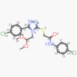 COC(Cn1c(SCC(=O)Nc2ccc(Cl)cc2)nnc1-c1ccc(Cl)cc1)OC